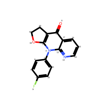 O=c1c2c(n(-c3ccc(F)cc3)c3ncccc13)OCC2